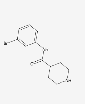 O=C(Nc1cccc(Br)c1)C1CCNCC1